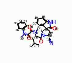 CC(C)C[C@@H](C(=O)N1C[C@]2(C[C@H]1C#N)C(=O)Nc1ccccc12)N(C)C(=O)C(=O)N(C)c1ccccc1